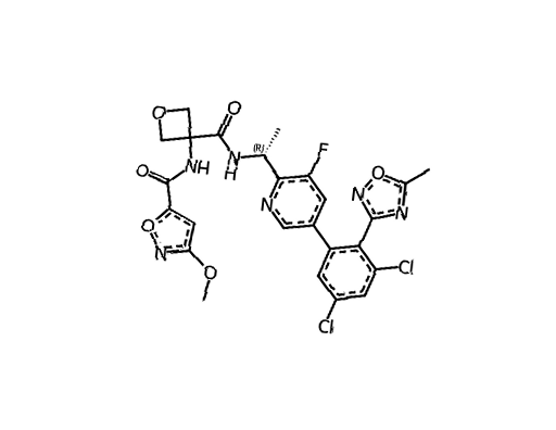 COc1cc(C(=O)NC2(C(=O)N[C@H](C)c3ncc(-c4cc(Cl)cc(Cl)c4-c4noc(C)n4)cc3F)COC2)on1